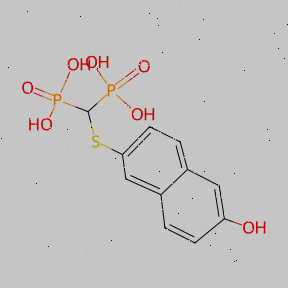 O=P(O)(O)C(Sc1ccc2cc(O)ccc2c1)P(=O)(O)O